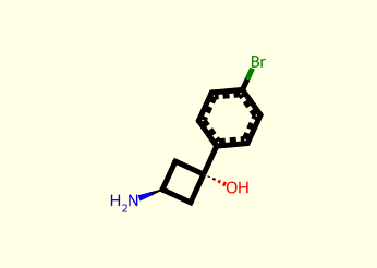 N[C@H]1C[C@@](O)(c2ccc(Br)cc2)C1